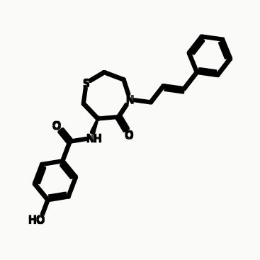 O=C(N[C@H]1CSCCN(C/C=C/c2ccccc2)C1=O)c1ccc(O)cc1